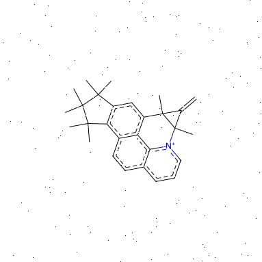 C=C1C2(C)c3cc4c(c5ccc6ccc[n+](c6c35)C12C)C(C)(C)C(C)(C)C4(C)C